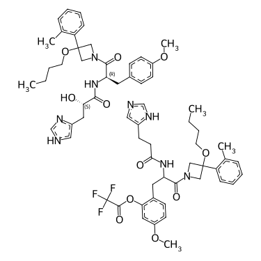 CCCCOC1(c2ccccc2C)CN(C(=O)C(Cc2ccc(OC)cc2OC(=O)C(F)(F)F)NC(=O)CCc2cnc[nH]2)C1.CCCCOC1(c2ccccc2C)CN(C(=O)[C@@H](Cc2ccc(OC)cc2)NC(=O)[C@@H](O)Cc2c[nH]cn2)C1